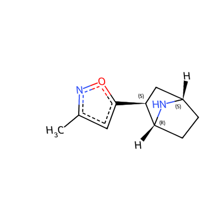 Cc1cc([C@H]2C[C@@H]3CC[C@H]2N3)on1